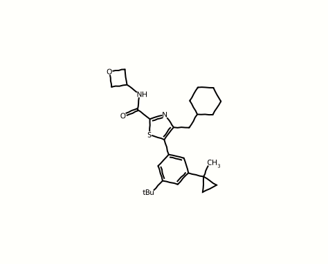 CC(C)(C)c1cc(-c2sc(C(=O)NC3COC3)nc2CC2CCCCC2)cc(C2(C)CC2)c1